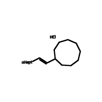 CCCCCCCC=CC1CCCCCCCC1.Cl